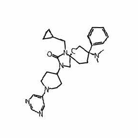 CN(C)[C@]1(c2ccccc2)CC[C@@]2(CC1)CN(C1CCN(c3cncnc3)CC1)C(=O)N2CC1CC1